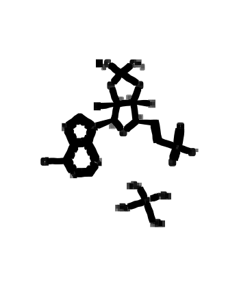 CC1(C)O[C@@H]2[C@H](O1)[C@@H](C=CS(=O)(=O)[O-])O[C@H]2n1cnc2c(Cl)ncnc21.CCCC[N+](CCCC)(CCCC)CCCC